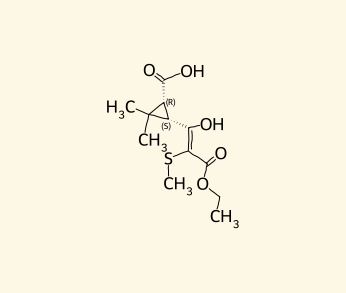 CCOC(=O)C(SC)=C(O)[C@H]1[C@@H](C(=O)O)C1(C)C